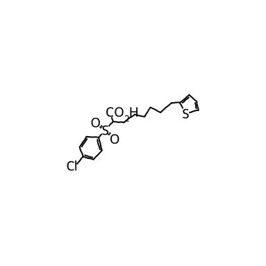 O=C(O)C(CCCCCCc1cccs1)S(=O)(=O)c1ccc(Cl)cc1